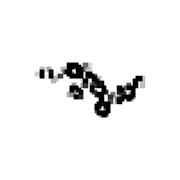 O=C(O)c1ccc2nc(CN3CCC(c4ccccc4OCc4ccc(Cl)cn4)CC3)n(C[C@@H]3CCO3)c2c1